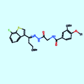 CCOc1ccc(C(=O)NCC(=O)N/N=C(\CCOC)c2csc3c(F)cccc23)cc1OC